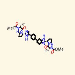 COC(=O)N[C@H](C(=O)N1CCC[C@H]1c1ncc(-c2ccc(-c3ccc4nc([C@@H]5CCCN5C(=O)[C@H](NC(=O)OC)C(C)C)[nH]c4c3)cc2)[nH]1)C(C)C